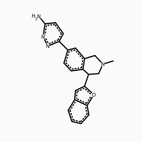 CN1Cc2cc(-c3ccc(N)nn3)ccc2C(c2cc3ccccc3o2)C1